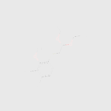 CCOC(CSc1ccc(C)c(C)c1OC)OCC